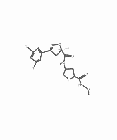 CONC(=O)C1CC(NC(=O)[C@@]2(C)CC(c3cc(F)cc(F)c3)=NO2)CO1